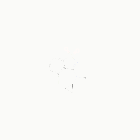 CC(C)N(C1=NS(=O)(=O)c2cccc(F)c21)C1CC1